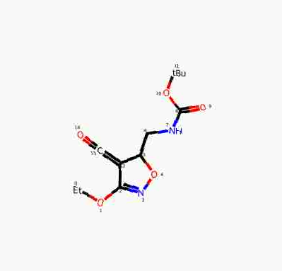 CCOC1=NOC(CNC(=O)OC(C)(C)C)C1=C=O